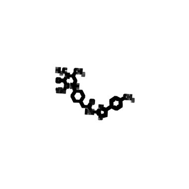 Cc1ccc(-c2csc(NC(=O)CC3CCC(NCC(C)N(C)C(=O)OC(C)(C)C)CC3)n2)cc1